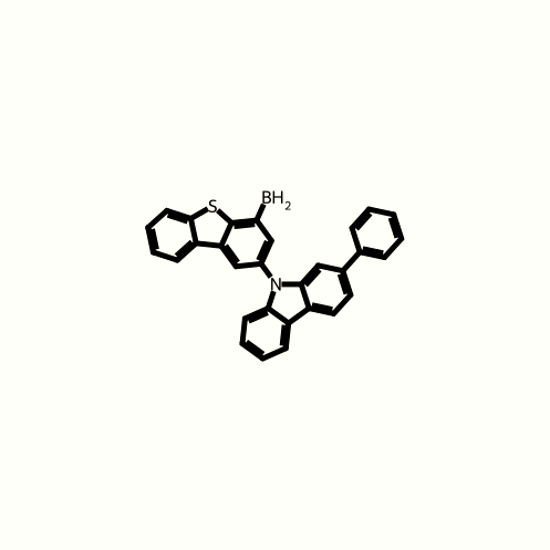 Bc1cc(-n2c3ccccc3c3ccc(-c4ccccc4)cc32)cc2c1sc1ccccc12